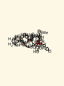 CN[C@H](CC(C)C)C(=O)N[C@H]1C(=O)N[C@@H](CC(N)=O)C(=O)N[C@H]2C(=O)N[C@H]3C(=O)N[C@H](C(=O)N[C@H](C(=O)NC(CNC(=N)N)CNC(=N)N)C4=CC(O)CC(O)=C4C4CC3=CC=C4O)[C@H](O)C3=CC=C(Oc4cc2cc(c4O[C@H]2OC(CO)C(O)[C@H](O)C2O[C@H]2CC(C)(NCc4ccc(-c5ccc(Cl)cc5)cc4)[C@H](O)[C@H](C)O2)OC2=C(Cl)C=C(CC2)[C@H]1O)C(Cl)C3